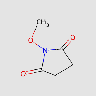 CON1C(=O)CCC1=O